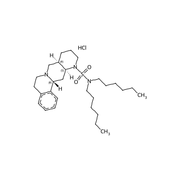 CCCCCCN(CCCCCC)S(=O)(=O)N1CCC[C@@H]2CN3CCc4ccccc4[C@H]3C[C@@H]21.Cl